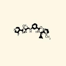 Cn1ccnc1[C@@H](NC(=O)c1cccc(NCc2nnc(-c3ccncc3F)n2C)c1)C1CC1